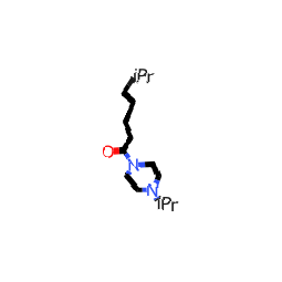 CC(C)CCCCC(=O)N1CCN(C(C)C)CC1